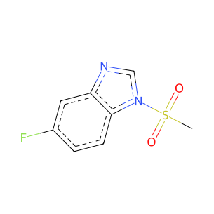 CS(=O)(=O)n1cnc2cc(F)ccc21